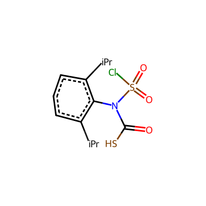 CC(C)c1cccc(C(C)C)c1N(C(=O)S)S(=O)(=O)Cl